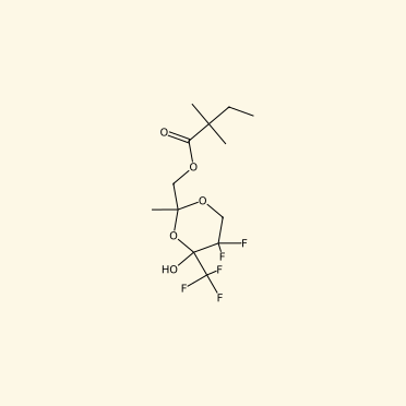 CCC(C)(C)C(=O)OCC1(C)OCC(F)(F)C(O)(C(F)(F)F)O1